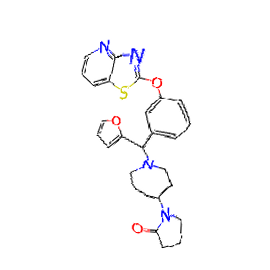 O=C1CCCN1C1CCN(C(c2cccc(Oc3nc4ncccc4s3)c2)c2ccco2)CC1